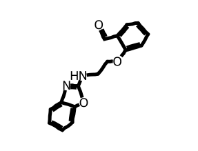 O=Cc1ccccc1OCCNc1nc2ccccc2o1